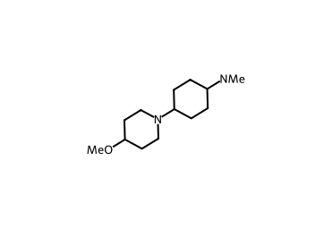 CNC1CCC(N2CCC(OC)CC2)CC1